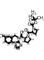 CC(C)(C)OC(=O)N1CCC1C(=O)N1CCC[C@H]1C(=O)NCc1cc(Cl)ccc1-n1cnnn1